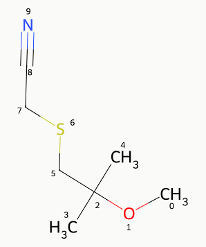 COC(C)(C)CSCC#N